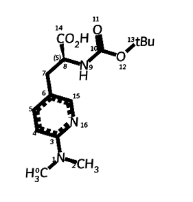 CN(C)c1ccc(C[C@H](NC(=O)OC(C)(C)C)C(=O)O)cn1